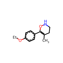 CCOc1ccc(C2=C(C)CCNO2)cc1